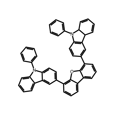 C1=CC2c3cc(-c4cccc5c4oc4c(-c6ccc7c(c6)c6ccccc6n7-c6ccccc6)cccc45)ccc3N(c3ccccc3)C2C=C1